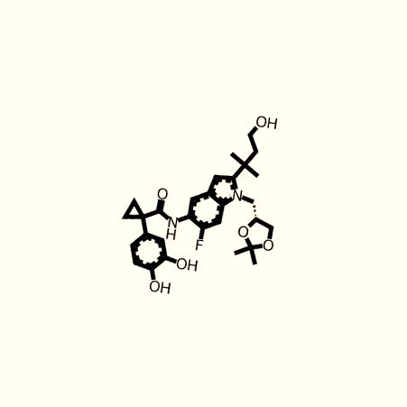 CC1(C)OC[C@@H](Cn2c(C(C)(C)CCO)cc3cc(NC(=O)C4(c5ccc(O)c(O)c5)CC4)c(F)cc32)O1